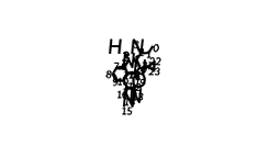 CCC(N)c1nc2cccc(-c3cnn(C)c3)c2c(=O)n1C1CC1